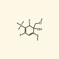 COCC1(O)C(SC)=CC(F)=C([Si](C)(C)C)C1F